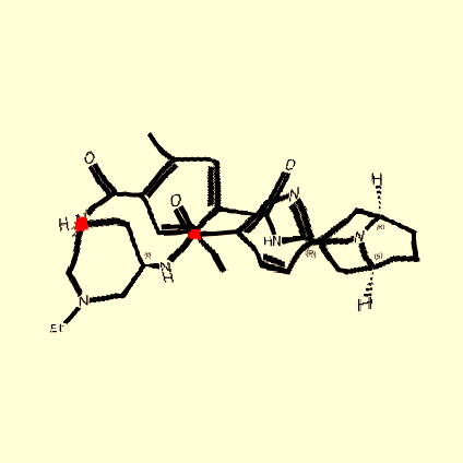 CCN1CCC[C@@H](NC(=O)c2ccc(N3[C@@H]4CC[C@H]3C[C@@H](NC(=O)c3cc(C)c(C(N)=O)cc3C)C4)nc2)C1